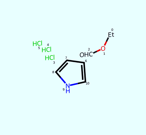 CCOC=O.Cl.Cl.Cl.c1cc[nH]c1